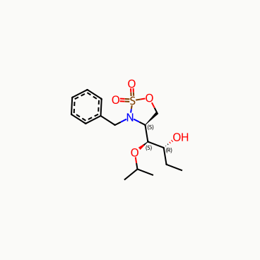 CC[C@@H](O)[C@@H](OC(C)C)[C@@H]1COS(=O)(=O)N1Cc1ccccc1